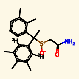 [2H]c1c(C)c(C)c(C)c([2H])c1C(C)(c1cccc(C)c1C)[S+]([O-])CC(N)=O